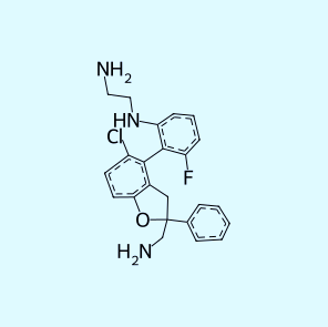 NCCNc1cccc(F)c1-c1c(Cl)ccc2c1CC(CN)(c1ccccc1)O2